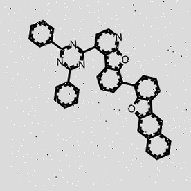 c1ccc(-c2nc(-c3ccccc3)nc(-c3ccnc4oc5c(-c6cccc7c6oc6cc8ccccc8cc67)cccc5c34)n2)cc1